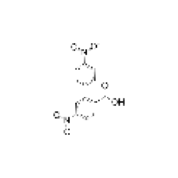 O=C(O)c1ccc([N+](=O)[O-])cc1-c1ccc([N+](=O)[O-])cc1